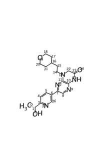 C[C@@H](O)c1ccc(-c2cnc3c(n2)N(CCC2CCOCC2)CC(=O)N3)cn1